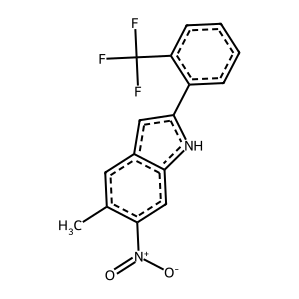 Cc1cc2cc(-c3ccccc3C(F)(F)F)[nH]c2cc1[N+](=O)[O-]